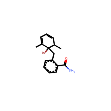 CC1=CC=CC(C)C1(Br)Cc1ccccc1C(N)=O